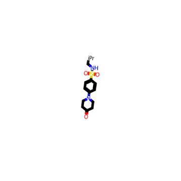 CC(C)CNS(=O)(=O)c1ccc(N2CCC(=O)CC2)cc1